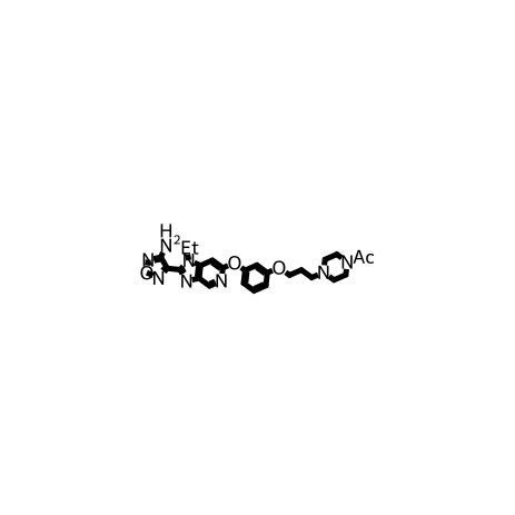 CCn1c(-c2nonc2N)nc2cnc(Oc3cccc(OCCCN4CCN(C(C)=O)CC4)c3)cc21